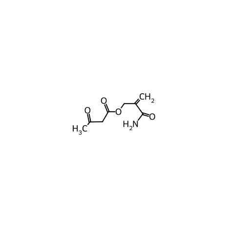 C=C(COC(=O)CC(C)=O)C(N)=O